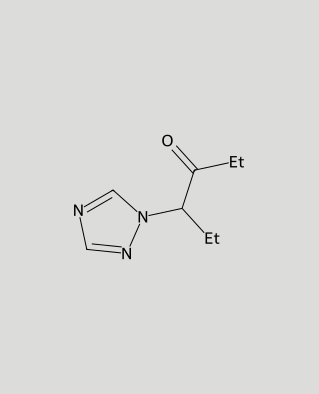 CCC(=O)C(CC)n1cncn1